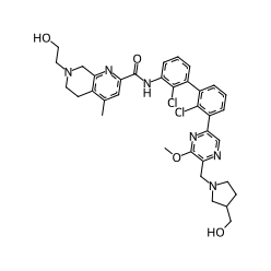 COc1nc(-c2cccc(-c3cccc(NC(=O)c4cc(C)c5c(n4)CN(CCO)CC5)c3Cl)c2Cl)cnc1CN1CCC(CO)C1